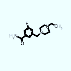 CCN1CCN(Cc2cc(F)cc(C(N)=O)c2)CC1